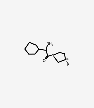 NC(C(=O)N1CC[C@H](F)C1)C1CCCCC1